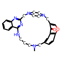 CN1CCCNc2nc(nc3ccccc23)CN2CCN(CC2)Cc2coc3ccc(cc3c2=O)C1